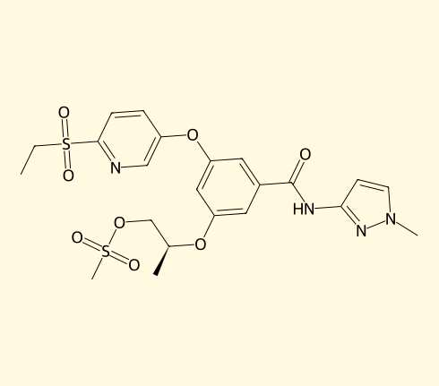 CCS(=O)(=O)c1ccc(Oc2cc(O[C@@H](C)COS(C)(=O)=O)cc(C(=O)Nc3ccn(C)n3)c2)cn1